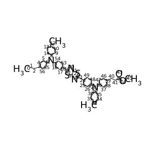 CCCc1ccc(N(c2ccc(C)cc2)c2ccc(C3=NC4SC(c5ccc(N(c6ccc(C)cc6)c6ccc(CCC(=O)OC)cc6)cc5)=NC4S3)cc2)cc1